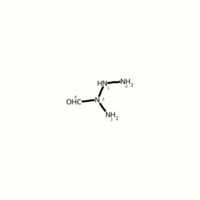 NNN(N)C=O